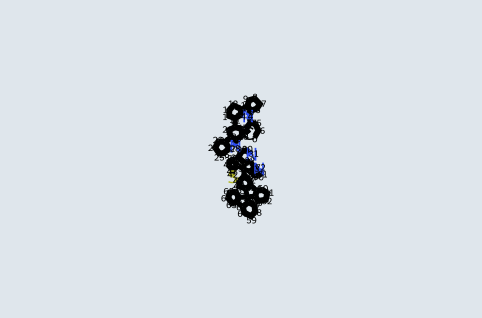 c1ccc(-n2c3ccccc3c3cccc(-c4ccc5c(c4)c4ccccc4n5-c4cnc5c(c4)C4(c6ccccc6Sc6cc7c(cc64)-c4ccccc4C74c6ccccc6-c6ccccc64)c4cccnc4-5)c32)cc1